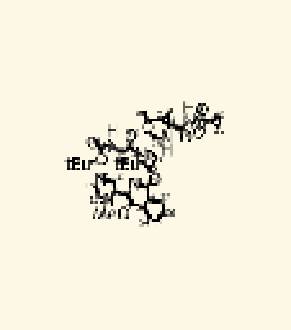 C=CC1C[C@]1(NC(=O)[C@@H]1C[C@@H](Oc2nc(-c3cnccn3)c(OC)c3ccccc23)CN1C(=O)[C@@H](NC(=O)OC(C)(C)C)C(C)(C)C)C(=O)NS(=O)(=O)C1CC1